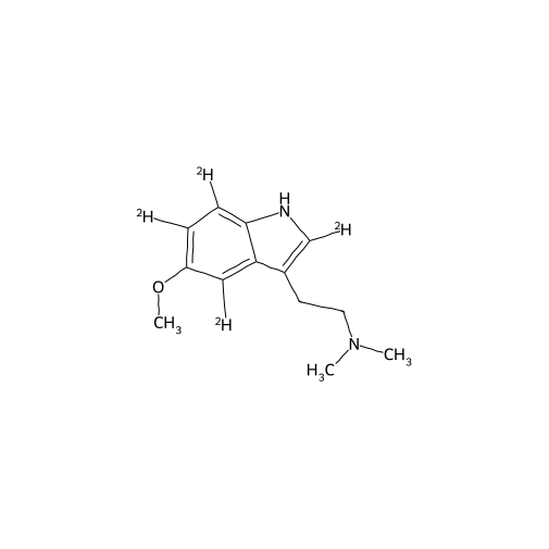 [2H]c1[nH]c2c([2H])c([2H])c(OC)c([2H])c2c1CCN(C)C